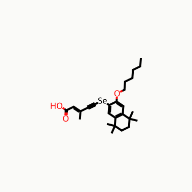 CCCCCCOc1cc2c(cc1[Se]C#C/C(C)=C/C(=O)O)C(C)(C)CCC2(C)C